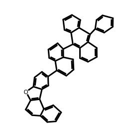 c1ccc(-c2c3ccccc3c(-c3cccc4c(-c5ccc6oc7ccc8ccccc8c7c6c5)cccc34)c3ccccc23)cc1